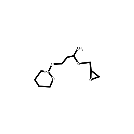 CC(CCO[SiH]1CCCCO1)OCC1CO1